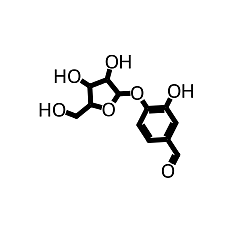 O=Cc1ccc(OC2OC(CO)C(O)C2O)c(O)c1